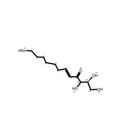 CCCCCCCCCCCCCCCC=CC(=O)C(O)[C@@H](O)CO